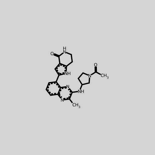 CC(=O)N1CCC(Nc2nc3c(-c4cc5c([nH]4)CCNC5=O)cccc3nc2C)C1